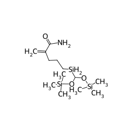 C=C(CCC[SiH2]C(O[Si](C)(C)C)O[Si](C)(C)C)C(N)=O